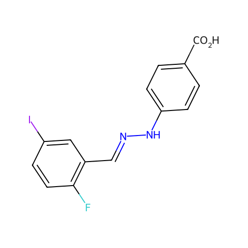 O=C(O)c1ccc(NN=Cc2cc(I)ccc2F)cc1